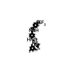 Cc1cc(C)c(N2/C(=N/C(=O)Nc3ccc(C4N=CN(c5ccc(OC(F)(F)F)cc5)N4)cc3)SCC2C)c(C)c1